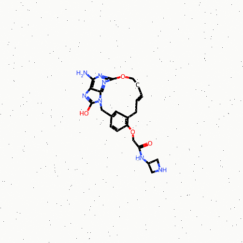 Nc1nc2nc3c1nc(O)n3Cc1ccc(OCC(=O)NC3CNC3)c(c1)C/C=C/CCO2